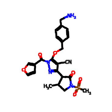 CC1CN(S(C)(=O)=O)C(=O)C1c1nn(C(=O)c2ccoc2)c(OCc2ccc(CN)cc2)c1C#N